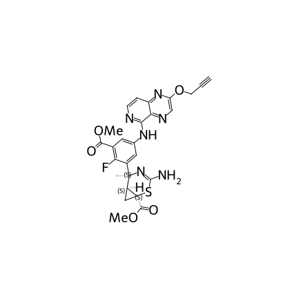 C#CCOc1cnc2c(Nc3cc(C(=O)OC)c(F)c([C@@]4(C)N=C(N)S[C@@]5(C(=O)OC)C[C@H]54)c3)nccc2n1